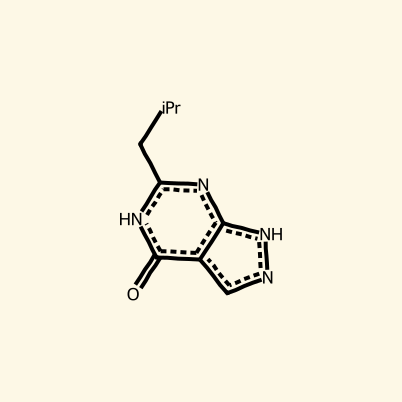 CC(C)Cc1nc2[nH]ncc2c(=O)[nH]1